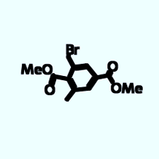 COC(=O)c1cc(C)c(C(=O)OC)c(CBr)c1